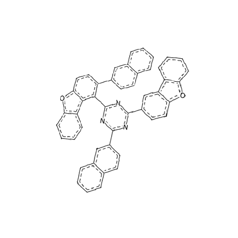 c1ccc2cc(-c3nc(-c4ccc5oc6ccccc6c5c4)nc(-c4c(-c5ccc6ccccc6c5)ccc5oc6ccccc6c45)n3)ccc2c1